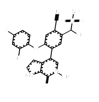 CC(c1cc(-c2cn(C)c(=O)c3[nH]ccc23)c(Oc2ccc(F)cc2F)cc1C#N)S(N)(=O)=O